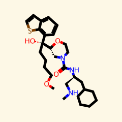 CNC[C@H](CC1CCCCC1)NC(=O)N1CCO[C@@H]([C@@](O)(CCCCOC)c2cccc3ccsc23)C1